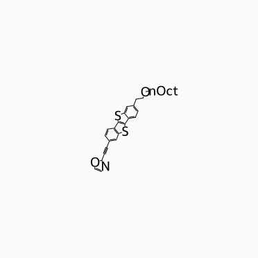 CCCCCCCCOCCc1ccc2c(c1)sc1c3ccc(C#Cc4ncco4)cc3sc21